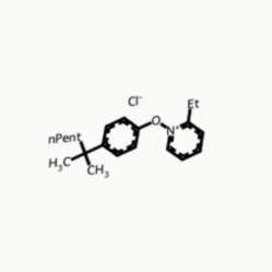 CCCCCC(C)(C)c1ccc(O[n+]2ccccc2CC)cc1.[Cl-]